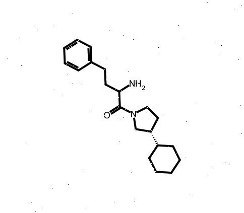 NC(CCc1ccccc1)C(=O)N1CC[C@H](C2CCCCC2)C1